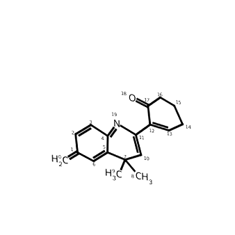 C=c1ccc2c(c1)C(C)(C)C=C(C1=CCCCC1=O)N=2